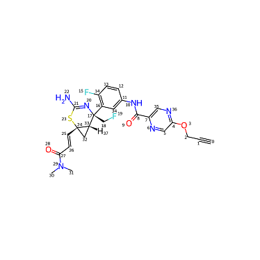 C#CCOc1cnc(C(=O)Nc2ccc(F)c([C@@]3(CF)N=C(N)S[C@@]4(C=CC(=O)N(C)C)C[C@H]43)c2)cn1